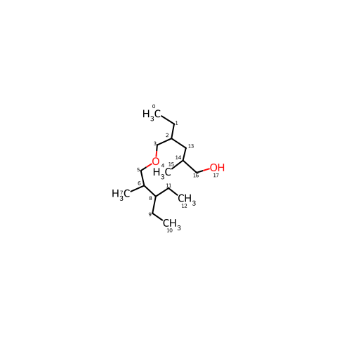 CCC(COCC(C)C(CC)CC)CC(C)CO